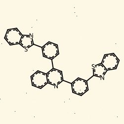 c1cc(-c2cc(-c3cccc(-c4nc5ccccc5s4)c3)c3ccccc3n2)cc(-c2nc3ccccc3s2)c1